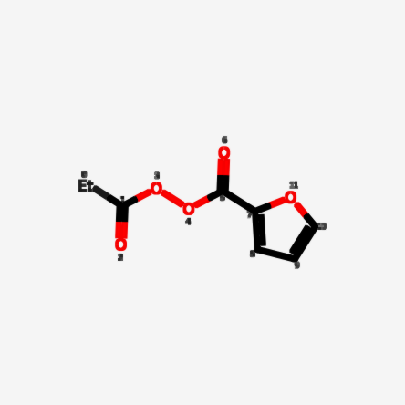 CCC(=O)OOC(=O)c1ccco1